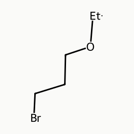 C[CH]OCCCBr